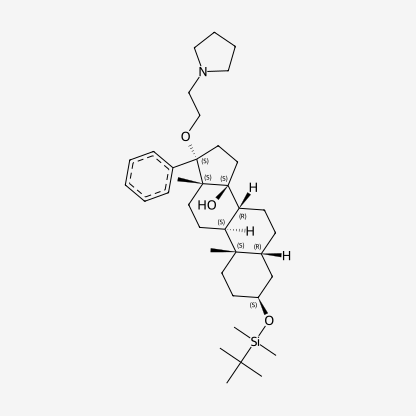 CC(C)(C)[Si](C)(C)O[C@H]1CC[C@@]2(C)[C@H](CC[C@@H]3[C@@H]2CC[C@]2(C)[C@@](OCCN4CCCC4)(c4ccccc4)CC[C@]32O)C1